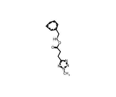 Cn1nnc(CCC(=O)ONCc2ccccc2)n1